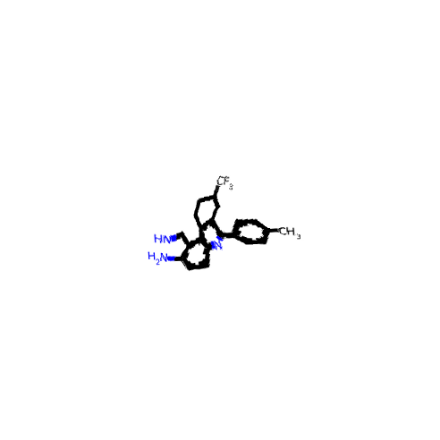 Cc1ccc(-c2nc3ccc(N)c(C=N)c3c3c2CC(C(F)(F)F)CC3)cc1